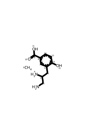 C.NCC(N)Cc1cc(C(=O)O)ccc1O